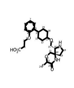 O=C(O)CCOc1ccccc1C1CCC(OC[C@@H]2NCC[C@@]23COC(F)C(=O)N3)CC1